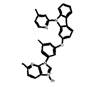 Cc1cc(Oc2ccc3c4ccccc4n(-c4cc(C)ccn4)c3c2)cc(-n2c[n+](C(C)C)c3ccc(C)nc32)c1